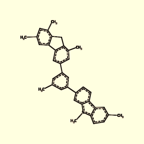 Cc1cc(-c2cc(C)c3c(c2)-c2cc(C)cc(C)c2C3)cc(-c2ccc3c4cc(C)ccc4n(C)c3c2)c1